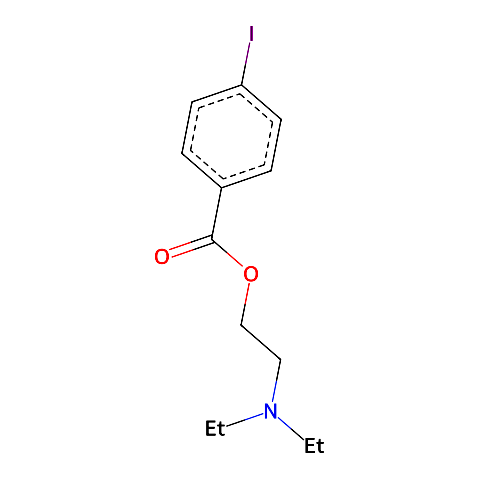 CCN(CC)CCOC(=O)c1ccc(I)cc1